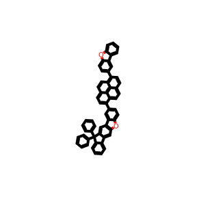 c1ccc(C2(c3ccccc3)c3ccccc3-c3cc4oc5ccc(-c6ccc7ccc8c(-c9ccc%10oc%11ccccc%11c%10c9)ccc9ccc6c7c98)cc5c4cc32)cc1